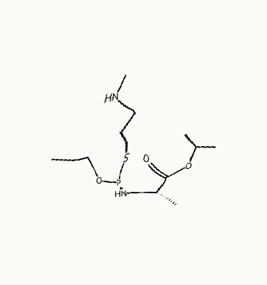 CCO[P@](N[C@@H](C)C(=O)OC(C)C)SCCNC